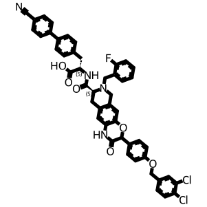 N#Cc1ccc(-c2ccc(C[C@H](NC(=O)[C@@H]3Cc4cc5c(cc4CN3Cc3ccccc3F)OC(c3ccc(OCc4ccc(Cl)c(Cl)c4)cc3)C(=O)N5)C(=O)O)cc2)cc1